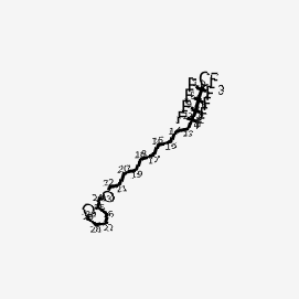 FC(F)(F)C(F)(F)C(F)(F)C(F)(F)C(F)(F)CCCCCCCCCCOCC1CCCCO1